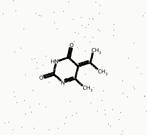 CC1=NC(=O)NC(=O)C1=C(C)C